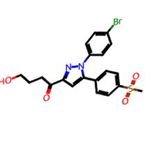 CS(=O)(=O)c1ccc(-c2cc(C(=O)CCCO)nn2-c2ccc(Br)cc2)cc1